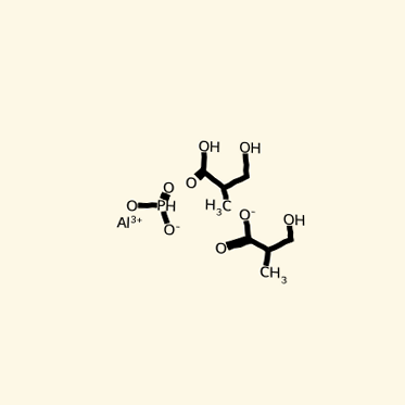 CC(CO)C(=O)O.CC(CO)C(=O)[O-].O=[PH]([O-])[O-].[Al+3]